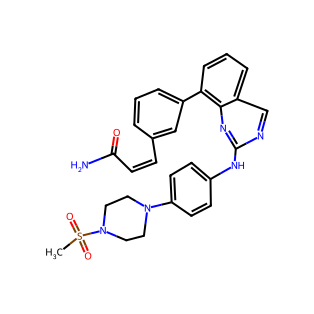 CS(=O)(=O)N1CCN(c2ccc(Nc3ncc4cccc(-c5cccc(C=CC(N)=O)c5)c4n3)cc2)CC1